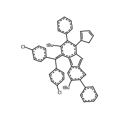 CC(C)(C)c1cc2c(cc1-c1ccccc1)=[C]c1c(C3=CC=CC3)c(-c3ccccc3)c(C(C)(C)C)c(=C(c3ccc(Cl)cc3)c3ccc(Cl)cc3)c1=2